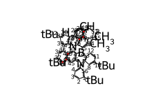 CC(C)(C)c1cccc(N2c3cc(C(C)(C)C)ccc3B3c4cc5c(cc4N(c4c(-c6ccccc6)cc(C(C)(C)C)cc4-c4ccccc4)c4cc(C(C)(C)C)cc2c43)C(C)(C)CCC5(C)C)c1